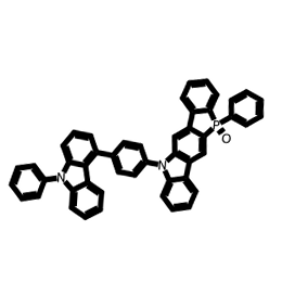 O=P1(c2ccccc2)c2ccccc2-c2cc3c(cc21)c1ccccc1n3-c1ccc(-c2cccc3c2c2ccccc2n3-c2ccccc2)cc1